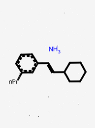 CCCc1cccc(C=CC2CCCCC2)c1.N